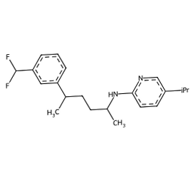 CC(CCC(C)c1cccc(C(F)F)c1)Nc1ccc(C(C)C)cn1